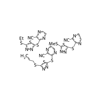 C=CCSc1nnc(Sc2nccnc2C#N)s1.CCSc1nnc(Sc2nccnc2C#N)s1.CSc1nnc(Sc2nccnc2C#N)s1